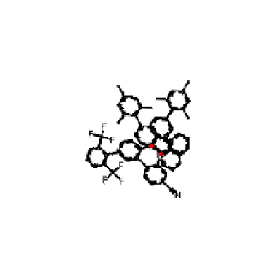 Cc1cc(C)c(-c2ccc3c(c2)c2ccccc2n3-c2ccc(-c3c(C(F)(F)F)cccc3C(F)(F)F)cc2-c2ccc(C#N)cc2-n2c3ccccc3c3cc(-c4c(C)cc(C)cc4C)ccc32)c(C)c1